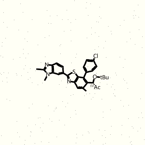 CC(=O)[C@@H](OC(C)(C)C)c1c(C)cc2nc(-c3ccc4nc(C)n(C)c4c3)sc2c1-c1ccc(Cl)cc1